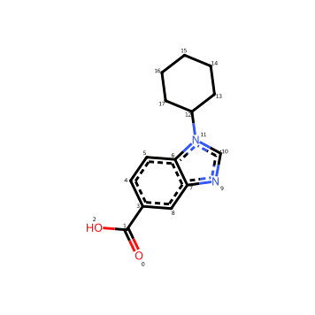 O=C(O)c1ccc2c(c1)n[c]n2C1CCCCC1